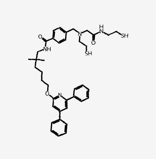 CC(C)(CCCCOc1cc(-c2ccccc2)cc(-c2ccccc2)n1)CNC(=O)c1ccc(CN(CCS)CC(=O)NCCS)cc1